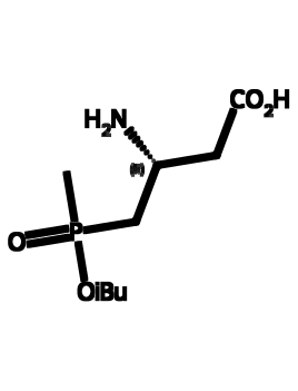 CC(C)COP(C)(=O)C[C@H](N)CC(=O)O